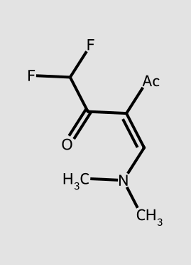 CC(=O)/C(=C/N(C)C)C(=O)C(F)F